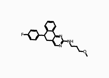 COCCCNc1ncc2c(n1)-c1ccccc1C(c1ccc(F)cc1)C2